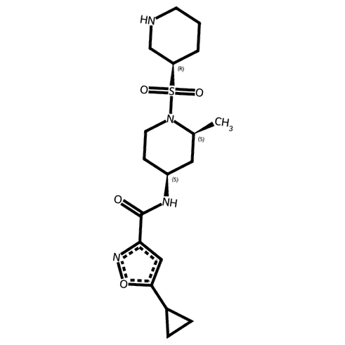 C[C@H]1C[C@@H](NC(=O)c2cc(C3CC3)on2)CCN1S(=O)(=O)[C@@H]1CCCNC1